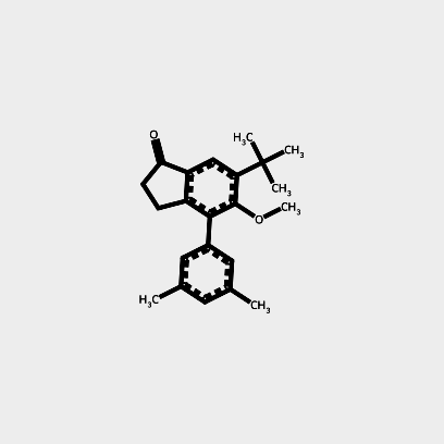 COc1c(C(C)(C)C)cc2c(c1-c1cc(C)cc(C)c1)CCC2=O